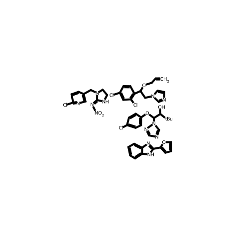 C=CCOC(Cn1ccnc1)c1ccc(Cl)cc1Cl.CC(C)(C)C(O)C(Oc1ccc(Cl)cc1)n1cncn1.O=[N+]([O-])/N=C1\NCCN1Cc1ccc(Cl)nc1.c1coc(-c2nc3ccccc3[nH]2)c1